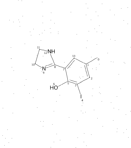 Cc1cc(I)c(O)c(C2=NCCN2)c1